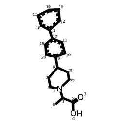 CC(C(=O)O)N1CCC(c2ccc(-c3ccccc3)cc2)CC1